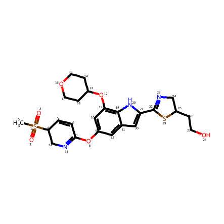 CS(=O)(=O)C1C=CC(Oc2cc(OC3CCOCC3)c3[nH]c(C4=NCC(CCO)S4)cc3c2)=NC1